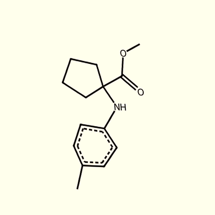 COC(=O)C1(Nc2ccc(C)cc2)CCCC1